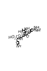 CCCc1ccc(CC(NC(=O)CCCNC(=O)C(CC2=CCN(C(=N)N)C2)NC(=O)C(N)C(C)O)C(=O)O)s1